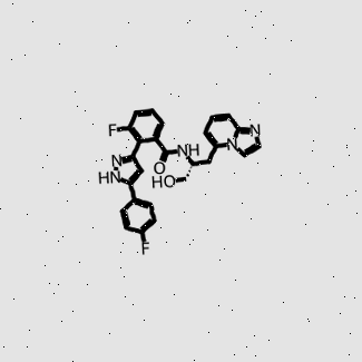 O=C(N[C@@H](CO)Cc1cccc2nccn12)c1cccc(F)c1-c1cc(-c2ccc(F)cc2)[nH]n1